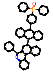 O=P(c1ccccc1)(c1ccccc1)c1ccc(-c2c3ccccc3c(-c3cc4c(-c5ccccc5)nc5ccccc5c4c4ccccc34)c3ccccc23)cc1